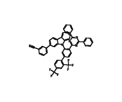 N#Cc1cccc(-c2ccc3c4ccccc4n(-c4cc(-c5ccc(C(F)(F)F)cc5C(F)(F)F)ccc4-c4nc(-c5ccccc5)nc(-c5ccccc5)n4)c3c2)c1